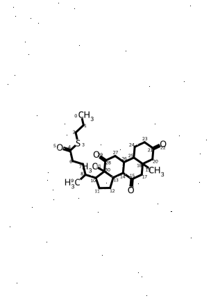 CCCSC(=O)CCC(C)C1CCC2C3C(=O)CC4(C)CC(=O)CCC4C3CC(=O)C12C